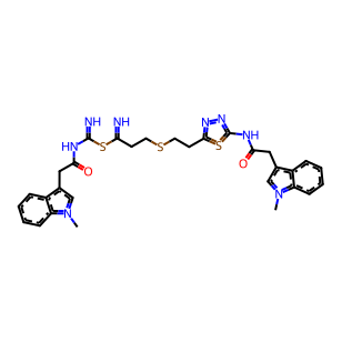 Cn1cc(CC(=O)NC(=N)SC(=N)CCSCCc2nnc(NC(=O)Cc3cn(C)c4ccccc34)s2)c2ccccc21